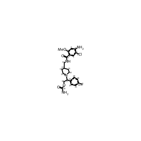 COc1cc(N)c(Cl)cc1C(=O)NCC1CCN(C(COC(N)=O)c2ccc(F)cc2)CC1